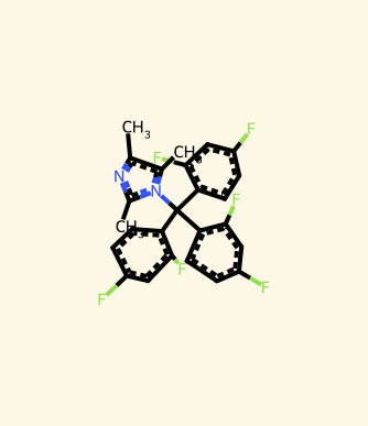 Cc1nc(C)n(C(c2ccc(F)cc2F)(c2ccc(F)cc2F)c2ccc(F)cc2F)c1C